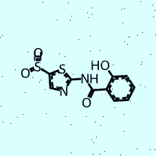 O=C(Nc1ncc([SH](=O)=O)s1)c1ccccc1O